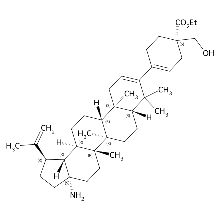 C=C(C)[C@@H]1CC[C@]2(N)CC[C@]3(C)[C@H](CC[C@@H]4[C@@]5(C)CC=C(C6=CC[C@@](CO)(C(=O)OCC)CC6)C(C)(C)[C@@H]5CC[C@]43C)[C@@H]12